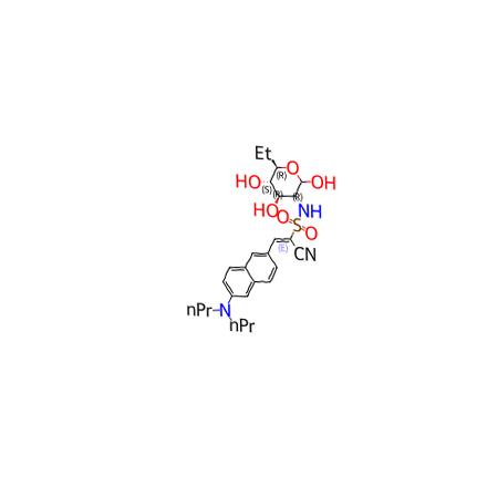 CCCN(CCC)c1ccc2cc(/C=C(\C#N)S(=O)(=O)N[C@H]3C(O)O[C@H](CC)[C@@H](O)[C@@H]3O)ccc2c1